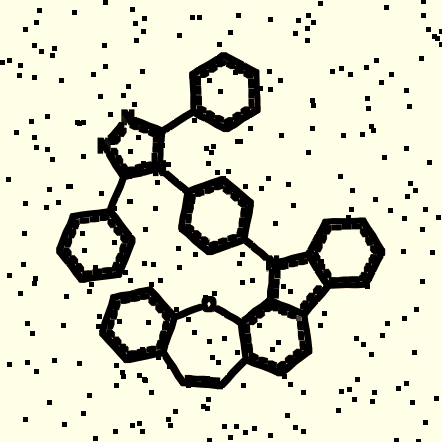 C1=Cc2ccc3c4ccccc4n(-c4ccc(-n5c(-c6ccccc6)nnc5-c5ccccc5)cc4)c3c2Oc2ccccc21